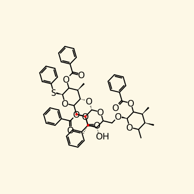 CC1O[C@@H](OCC2O[C@@H](O[C@@H]3C(COC(=O)c4ccccc4)O[C@@H](Sc4ccccc4)C(OC(=O)c4ccccc4)[C@H]3C)C(OC(=O)c3ccccc3)[C@@H](C)[C@H]2O)C(OC(=O)c2ccccc2)[C@@H](C)[C@H]1C